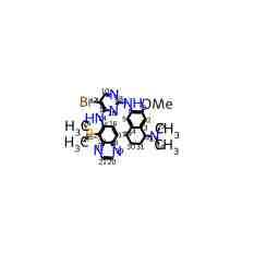 COc1cc2c(cc1Nc1ncc(Br)c(Nc3ccc4nccnc4c3P(C)C)n1)CCCC2N(C)C